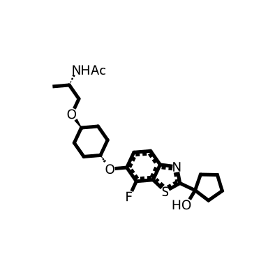 CC(=O)N[C@@H](C)CO[C@H]1CC[C@H](Oc2ccc3nc(C4(O)CCCC4)sc3c2F)CC1